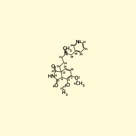 COC1=C(OC)C2C(=O)NC(=O)C2(CCCN(C)Cc2cccnc2)C=C1